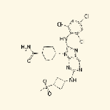 CS(=O)(=O)C1CC(Nc2ncc3nc(Nc4c(Cl)cc(Cl)cc4Cl)n([C@H]4CC[C@H](C(N)=O)CC4)c3n2)C1